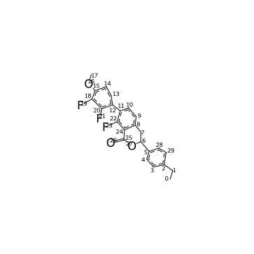 CCc1ccc(C2Cc3ccc(-c4ccc(OC)c(F)c4F)c(F)c3C(=O)O2)cc1